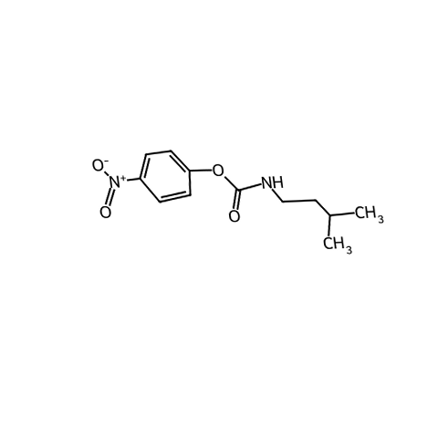 CC(C)CCNC(=O)Oc1ccc([N+](=O)[O-])cc1